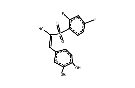 CC(C)(C)c1cc(/C=C(/C#N)S(=O)(=O)c2ccc(F)cc2F)ccc1O